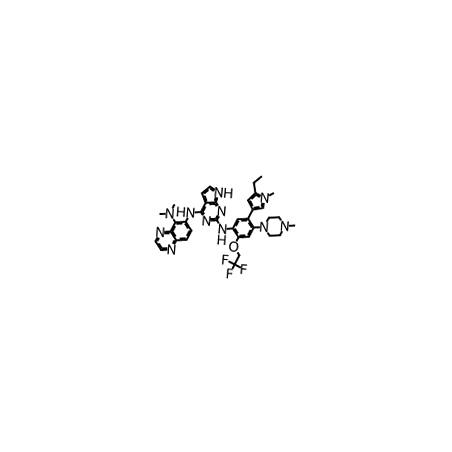 CCc1cc(-c2cc(Nc3nc(Nc4ccc5nccnc5c4N(C)C)c4cc[nH]c4n3)c(OCC(F)(F)F)cc2N2CCN(C)CC2)cn1C